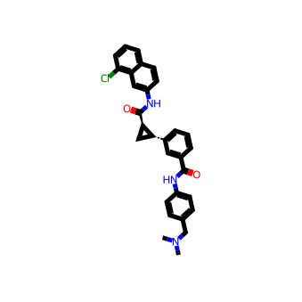 CN(C)Cc1ccc(NC(=O)c2cccc([C@@H]3C[C@H]3C(=O)Nc3ccc4cccc(Cl)c4c3)c2)cc1